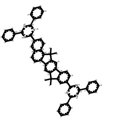 CC1(C)c2cc(-c3nc(-c4ccccc4)nc(-c4ccccc4)n3)ccc2-c2cc3c(cc21)-c1ccc2cc(-c4nc(-c5ccccc5)nc(-c5ccccc5)n4)ccc2c1C3(C)C